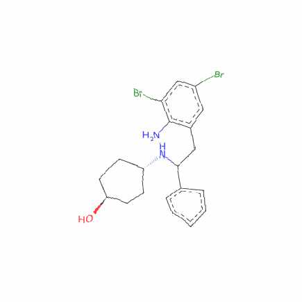 Nc1c(Br)cc(Br)cc1CC(N[C@H]1CC[C@H](O)CC1)c1ccccc1